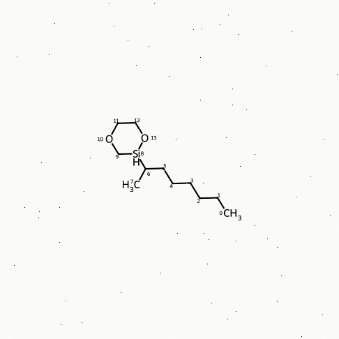 CCCCCCC(C)[SiH]1COCCO1